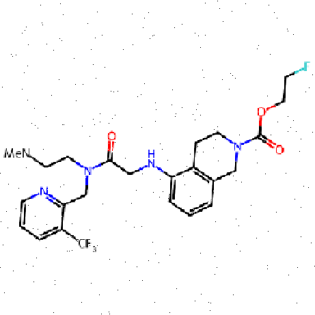 CNCCN(Cc1ncccc1C(F)(F)F)C(=O)CNc1cccc2c1CCN(C(=O)OCCF)C2